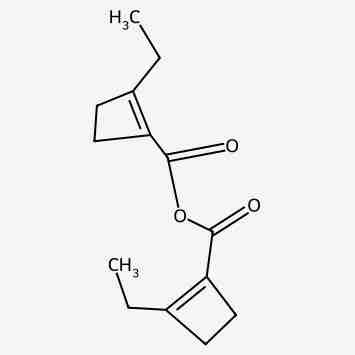 CCC1=C(C(=O)OC(=O)C2=C(CC)CC2)CC1